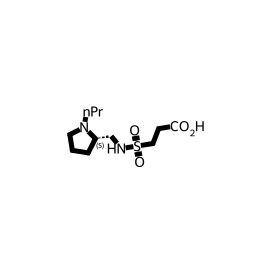 CCCN1CCC[C@H]1CNS(=O)(=O)CCC(=O)O